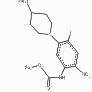 COC1CCN(c2cc(NC(=O)OC(C)(C)C)c([N+](=O)[O-])cc2I)CC1